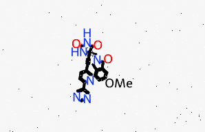 COc1ccc2c(c1)C(=O)N(C[C@@]1(C#Cc3ccc(-c4cncnc4)nc3)NC(=O)NC1=O)C2